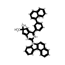 CC1(C)C=c2nc(-n3c4ccccc4c4c5ccccc5ccc43)nc(-c3cccc(-c4cccc5ccccc45)c3)c2=C1